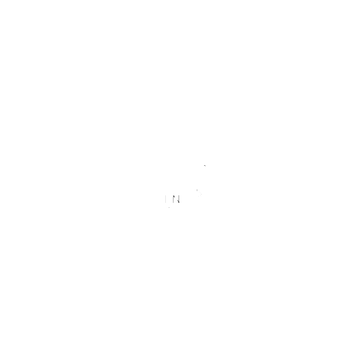 C=C(CCCC)SN